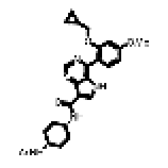 COc1ccc(-c2ncnc3c(C(=O)N[C@H]4CC[C@H](NC(C)=O)CC4)c[nH]c23)c(OCC2CC2)c1